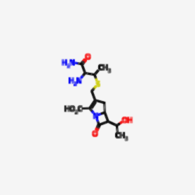 CC(O)C1C(=O)N2C(C(=O)O)=C(CSC(C)C(N)C(N)=O)CC12